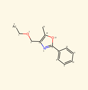 CC(=O)COCc1nc(-c2ccccc2)oc1C